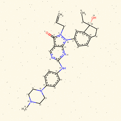 C=CCn1c(=O)c2cnc(Nc3ccc(N4CCN(C)CC4)cc3)nc2n1-c1ccc2c(c1)[C@@](O)(CC)CC2